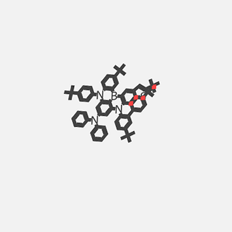 CC(C)(C)c1ccc(-c2cc(C(C)(C)C)ccc2N2c3cc4sc(C(C)(C)C)cc4cc3B3c4cc(C(C)(C)C)ccc4N(c4ccc(C(C)(C)C)cc4)c4cc(N(c5ccccc5)c5ccccc5)cc2c43)cc1